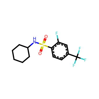 O=S(=O)(NC1CCCCC1)c1ccc(C(F)(F)F)cc1F